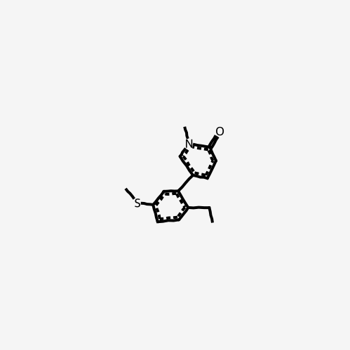 CCc1ccc(SC)cc1-c1ccc(=O)n(C)c1